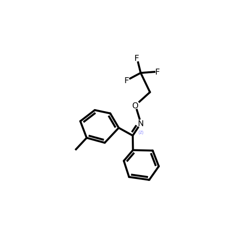 Cc1cccc(/C(=N\OCC(F)(F)F)c2ccccc2)c1